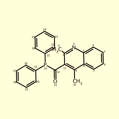 Cc1nc2ccccc2c(C)c1C(=O)P(c1ccccc1)c1ccccc1